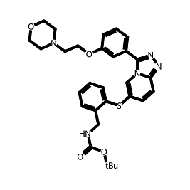 CC(C)(C)OC(=O)NCc1ccccc1Sc1ccc2nnc(-c3cccc(OCCN4CCOCC4)c3)n2c1